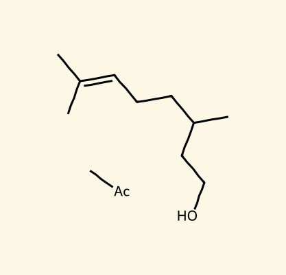 CC(C)=CCCC(C)CCO.CC(C)=O